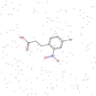 O=C(O)CCc1ccc(Br)cc1[N+](=O)[O-]